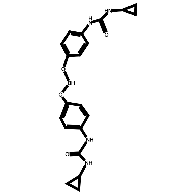 O=C(Nc1ccc(OBOc2ccc(NC(=O)NC3CC3)cc2)cc1)NC1CC1